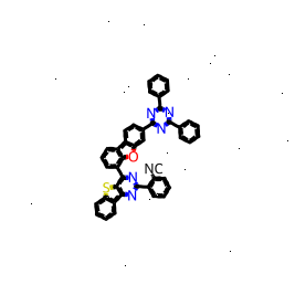 N#Cc1ccccc1-c1nc(-c2cccc3c2oc2cc(-c4nc(-c5ccccc5)nc(-c5ccccc5)n4)ccc23)c2sc3ccccc3c2n1